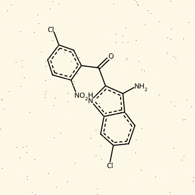 Nc1c(C(=O)c2cc(Cl)ccc2[N+](=O)[O-])[nH]c2cc(Cl)ccc12